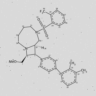 COC[C@@H]1C(c2ccc(-c3cccc(C)c3C)cc2)[C@@H]2CN(S(=O)(=O)c3ccccc3C(F)(F)F)CCCCN12